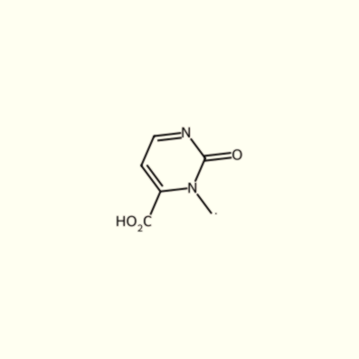 [CH2]n1c(C(=O)O)ccnc1=O